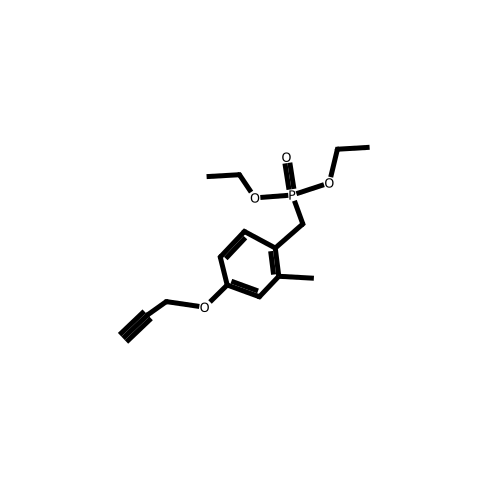 C#CCOc1ccc(CP(=O)(OCC)OCC)c(C)c1